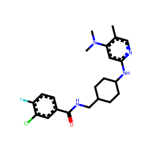 Cc1cnc(NC2CCC(CNC(=O)c3ccc(F)c(Cl)c3)CC2)cc1N(C)C